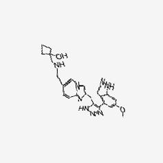 COc1cc(-c2nn[nH]c2Cc2cn3cc(CNCC4(O)CCC4)ccc3n2)c2cn[nH]c2c1